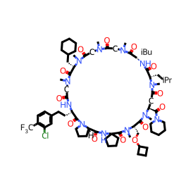 CC[C@H](C)[C@@H]1NC(=O)[C@H](CC(C)C)N(C)C(=O)C[C@@H](C(=O)N2CCCCC2)N(C)C(=O)[C@H](COC2CCC2)N(C)C(=O)C2(CCCC2)NC(=O)[C@@H]2CCCN2C(=O)[C@H](CCc2ccc(C(F)(F)F)c(Cl)c2)NC(=O)CN(C)C(=O)[C@H](CC2CCCCC2)N(C)C(=O)CN(C)C(=O)CN(C)C1=O